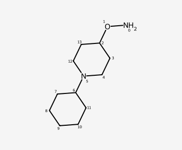 NOC1CCN(C2CCCCC2)CC1